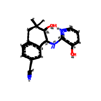 CC1(C)Cc2ccc(C#N)cc2C(Nc2ncccc2O)C1O